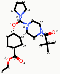 CCOC(=O)[C@H]1CC[C@H](OC(N2CCCC2)N2CCN(C(=O)C(C)(C)C)CC2)CC1